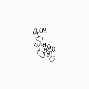 O=C(O)c1ccc(NC(=O)c2ccccc2NS(=O)(=O)C(=O)c2ccccc2)cc1